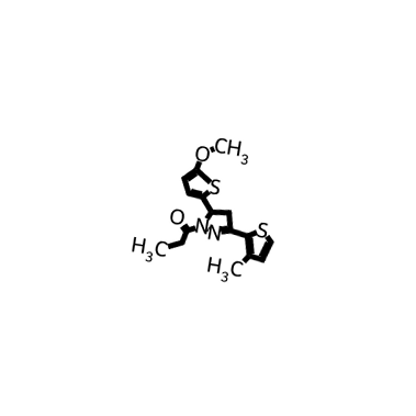 CCC(=O)N1N=C(c2sccc2C)CC1c1ccc(OC)s1